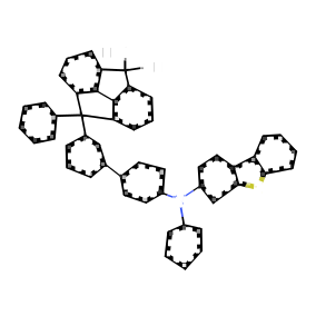 CC1(C)c2cccc3c2-c2c1cccc2C3(c1ccccc1)c1cccc(-c2ccc(N(c3ccccc3)c3ccc4c(c3)sc3ccccc34)cc2)c1